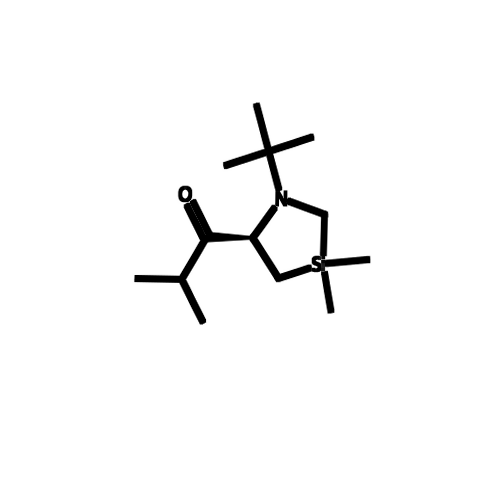 CC(C)C(=O)[C@@H]1C[Si](C)(C)CN1C(C)(C)C